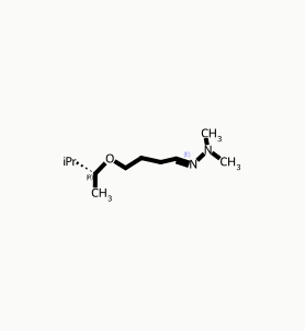 CC(C)[C@@H](C)OCCC/C=N/N(C)C